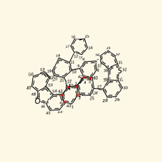 c1ccc(-c2ccccc2-c2c(-c3ccccc3)cccc2N(c2ccc(-c3cccc4sc5ccccc5c34)cc2)c2cccc3oc4ccccc4c23)cc1